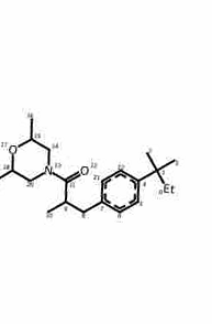 CCC(C)(C)c1ccc(CC(C)C(=O)N2CC(C)OC(C)C2)cc1